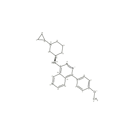 COc1ccc(-c2nnc(N[C@@H]3CCCN(C4CC4)C3)c3cnccc23)cc1